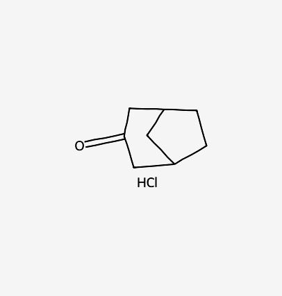 Cl.O=C1CC2CCC(C1)C2